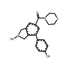 N#Cc1ccc(-c2cc(C(=O)N3CCSCC3)cc3c2CN(C#N)C3)cc1